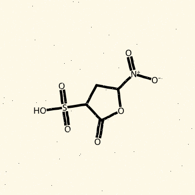 O=C1OC([N+](=O)[O-])CC1S(=O)(=O)O